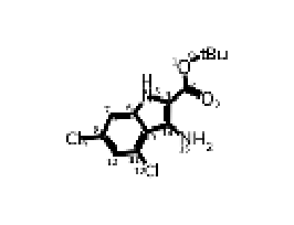 CC(C)(C)OC(=O)c1[nH]c2cc(Cl)cc(Cl)c2c1N